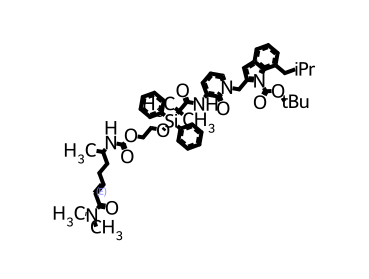 CC(C)Cc1cccc2cc(Cn3cccc(NC(=O)C(C)(C)[Si](OCCOC(=O)NC(C)CC/C=C/C(=O)N(C)C)(c4ccccc4)c4ccccc4)c3=O)n(C(=O)OC(C)(C)C)c12